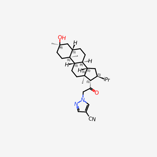 CC(C)[C@@H]1C[C@H]2[C@@H]3CC[C@H]4C[C@](C)(O)CC[C@]4(C)[C@H]3CC[C@]2(C)[C@H]1C(=O)Cn1cc(C#N)cn1